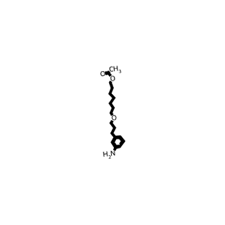 CC(=O)OCCCCCCCOCCCc1cccc(N)c1